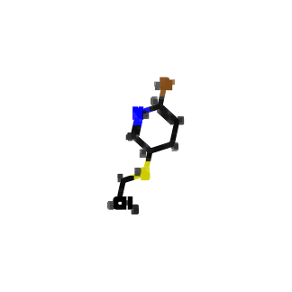 CCSC1C=NC(Br)=CC1